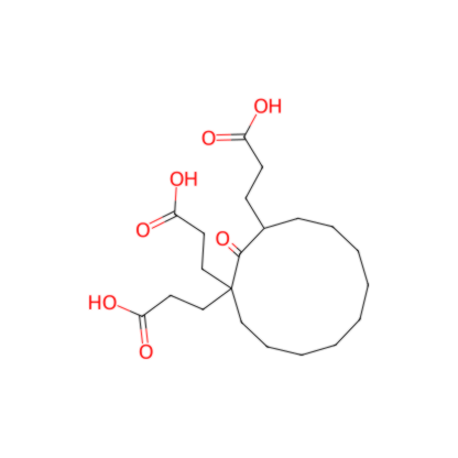 O=C(O)CCC1CCCCCCCCCC(CCC(=O)O)(CCC(=O)O)C1=O